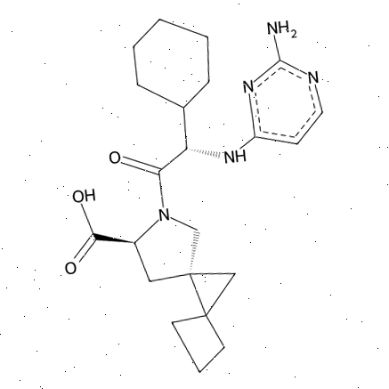 Nc1nccc(N[C@H](C(=O)N2C[C@]3(C[C@H]2C(=O)O)CC32CCC2)C2CCCCC2)n1